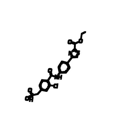 CCOC(=O)c1nc(-c2ccc(NC(=O)c3ccc(C[SH](=O)=O)cc3Cl)cc2)cs1